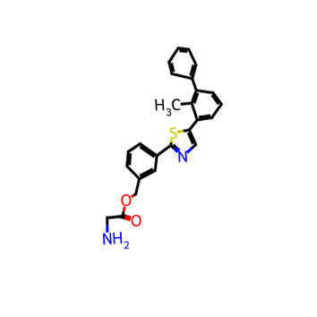 Cc1c(-c2ccccc2)cccc1-c1cnc(-c2cccc(COC(=O)CN)c2)s1